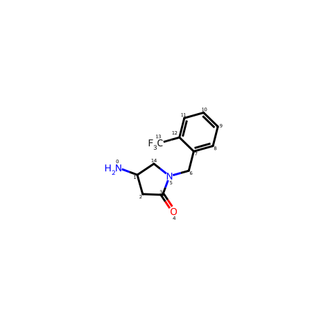 NC1CC(=O)N(Cc2ccccc2C(F)(F)F)C1